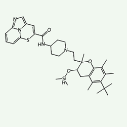 Cc1c(C)c(C(C)(C)C)c(C)c2c1OC(C)(CCN1CCC(NC(=O)C3=Cc4cnc5cccc(n45)S3)CC1)C(O[SiH](C)C)C2